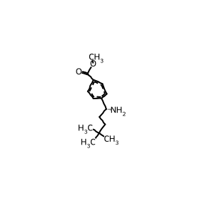 COC(=O)c1ccc([C@H](N)CCC(C)(C)C)cc1